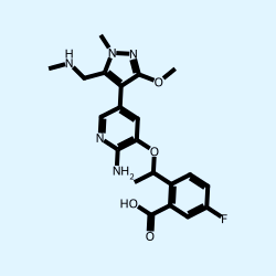 CNCc1c(-c2cnc(N)c(OC(C)c3ccc(F)cc3C(=O)O)c2)c(OC)nn1C